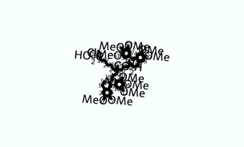 COc1cc2c(cc1OC)[C@H](c1cc(OC)c(OC)c(OC)c1)[N@+](C)(CCCC(CCCCCC(=O)O)(CCC[N@+]1(C)CCc3cc(OC)c(OC)cc3[C@@H]1c1cc(OC)c(OC)c(OC)c1)C(=O)O)CC2.[Cl-].[Cl-]